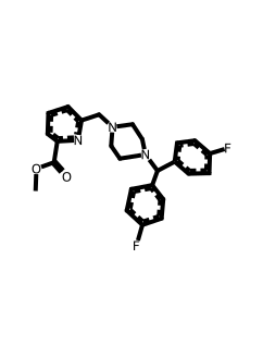 COC(=O)c1cccc(CN2CCN(C(c3ccc(F)cc3)c3ccc(F)cc3)CC2)n1